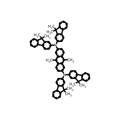 Cc1c2ccc(N(c3ccc4c(c3)C(C)(C)c3ccccc3-4)c3ccc4c(c3)C(C)(C)c3ccccc3-4)cc2c(C)c2ccc(N(c3ccc4c(c3)C(C)(C)c3ccccc3-4)c3ccc4c(c3)C(C)(C)c3ccccc3-4)cc12